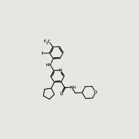 O=C(NCC1CCOCC1)c1cnc(Nc2cccc(C(F)(F)F)c2F)cc1C1CCCC1